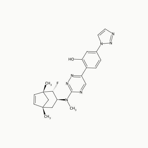 CN(c1ncc(-c2ccc(-n3ccnn3)cc2O)nn1)[C@H]1C[C@]2(C)C=C[C@@](C)(C2)[C@@H]1F